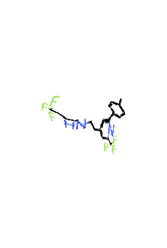 Cc1ccc(-c2cc(CCNCCCC(F)(F)F)cc(C(F)(F)F)n2)cc1